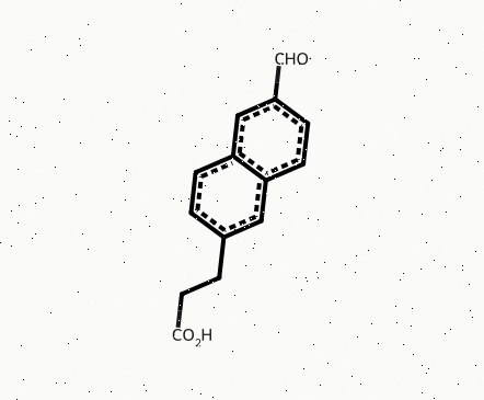 O=[C]c1ccc2cc(CCC(=O)O)ccc2c1